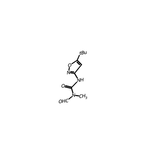 CN(C=O)C(=O)Nc1cc(C(C)(C)C)on1